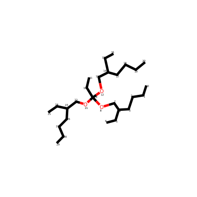 CCCCC(CC)COC(CC)(OCC(CC)CCCC)OCC(CC)CCCC